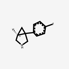 Fc1ccc(C23CNC[C@H]2C3)cc1